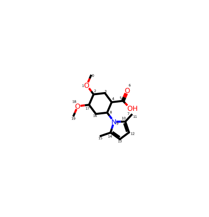 COC1CC(C(=O)O)C(n2c(C)ccc2C)CC1OC